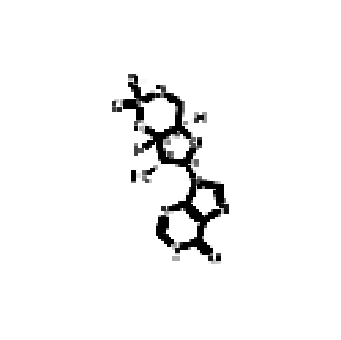 O=c1[nH]cnc2c1ncn2[C@@H]1O[C@@H]2COP(=O)(O)O[C@H]2[C@H]1O